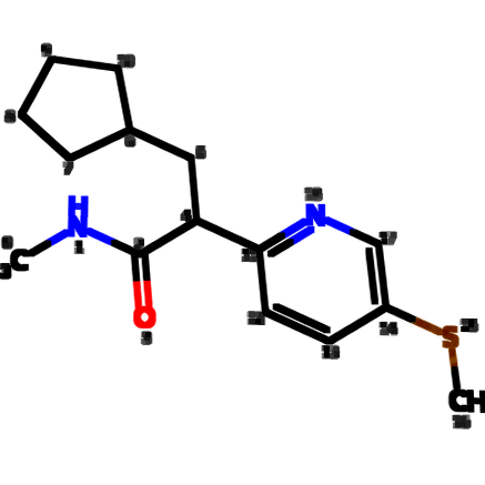 CNC(=O)C(CC1CCCC1)c1ccc(SC)cn1